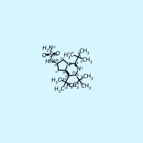 CC(C)(C)C1=N[C@@H](C(C)(C)C)C(C(C)(C)C)=C2C[C@@H](NS(N)(=O)=O)CN12